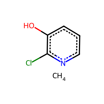 C.Oc1cccnc1Cl